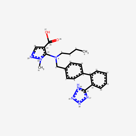 CCCCN(Cc1ccc(-c2ccccc2-c2nnn[nH]2)cc1)c1c(C(=O)O)cnn1C